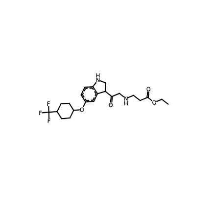 CCOC(=O)CCNCC(=O)C1CNc2ccc(OC3CCC(C(F)(F)F)CC3)cc21